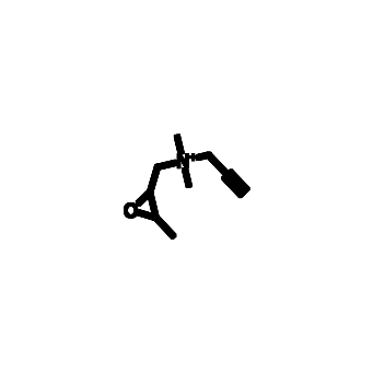 C#CC[N+](C)(C)CC1OC1C